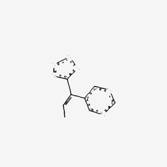 C/C=C(\c1cncnc1)c1nn[nH]n1